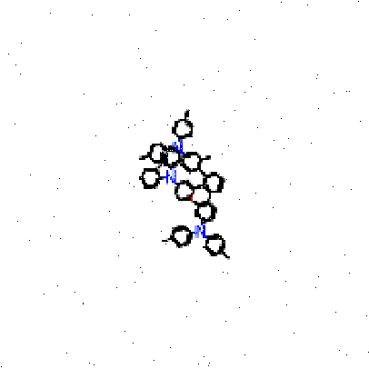 Cc1ccc(N(c2ccc(C)cc2)c2ccc(-c3cccc(-c4ccc(N(c5ccc(C)cc5)c5ccc(C)cc5)cc4C)c3-c3cccc(-n4c5ccccc5c5ccccc54)c3)c(C)c2)cc1